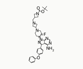 CC(C)(C)OC(=O)N1CC(CN2CC(N3CC[C@H](n4nc(-c5ccc(Oc6ccccc6)cc5)c5c(N)ncnc54)[C@@H](F)C3)C2)C1